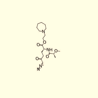 CO[C@@H](C)C(=O)N[C@@H](CCC(=O)C=[N+]=[N-])C(=O)OCCN1CCCCCC1